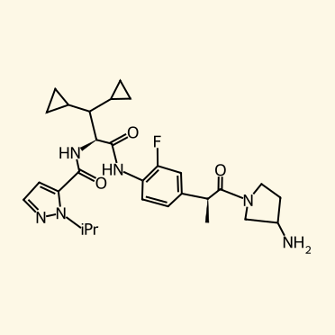 CC(C)n1nccc1C(=O)N[C@H](C(=O)Nc1ccc([C@H](C)C(=O)N2CCC(N)C2)cc1F)C(C1CC1)C1CC1